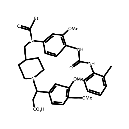 CCC(=O)N(CC1CCN(C(CC(=O)O)c2ccc(OC)c(OC)c2)CC1)c1ccc(NC(=O)Nc2ccccc2C)c(OC)c1